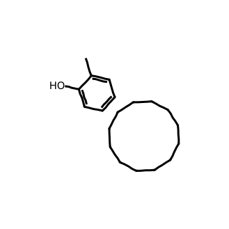 C1CCCCCCCCCCC1.Cc1ccccc1O